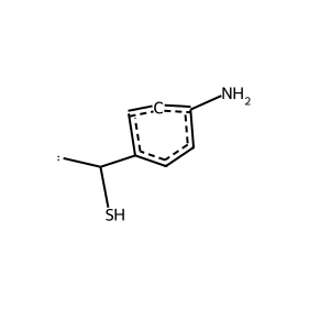 [CH]C(S)c1ccc(N)cc1